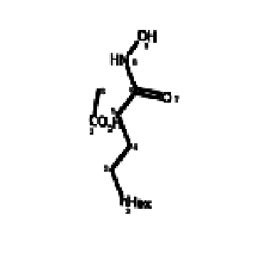 CC(=O)O.CCCCCCCCCC(=O)NO